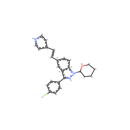 Fc1ccc(-c2nn(C3CCCCO3)c3ccc(C=Cc4ccncc4)cc23)cc1